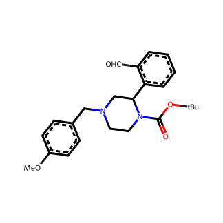 COc1ccc(CN2CCN(C(=O)OC(C)(C)C)C(c3ccccc3C=O)C2)cc1